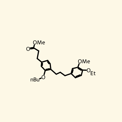 CCCCOc1cc(CCC(=O)OC)ccc1CCCc1ccc(OCC)c(OC)c1